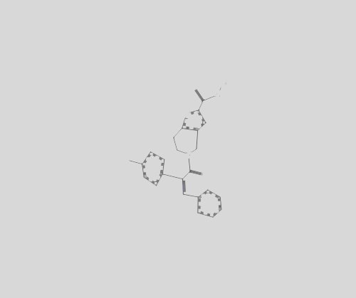 O=C(NO)c1cc2c(o1)CCN(C(=O)/C(=C\c1ccccc1)c1ccc(F)cc1)C2